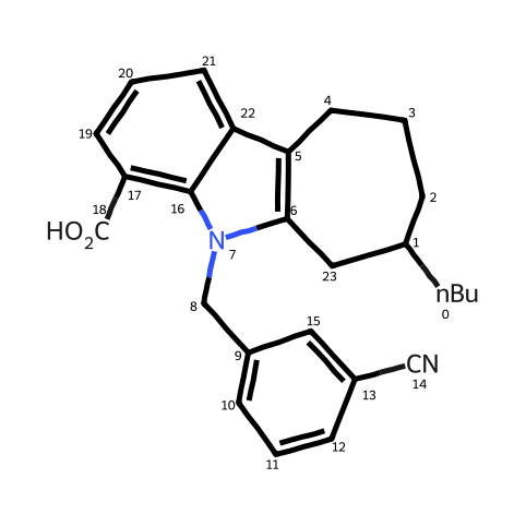 CCCCC1CCCc2c(n(Cc3cccc(C#N)c3)c3c(C(=O)O)cccc23)C1